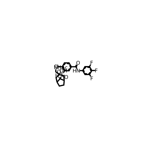 CC(=O)NC[C@]1(O)CC2CCC(C1)[C@@H]2S(=O)(=O)c1cc(C(=O)Nc2cc(F)c(F)c(F)c2)ccc1Cl